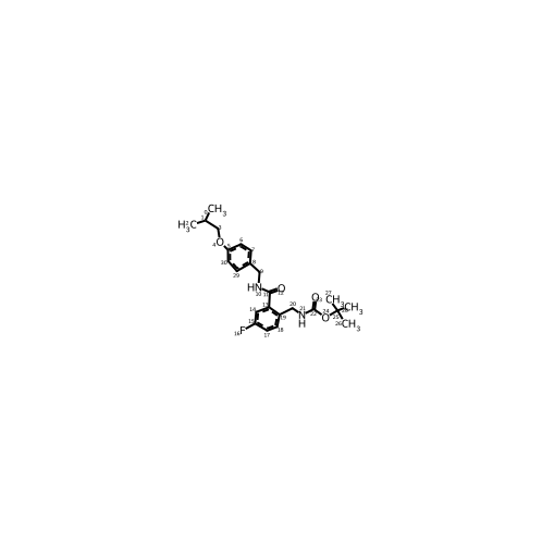 CC(C)COc1ccc(CNC(=O)c2cc(F)ccc2CNC(=O)OC(C)(C)C)cc1